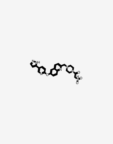 O=C(C[SH](=O)=O)N1CCN(Cc2ccc3cc(Oc4ccc(-c5ccn[nH]5)cn4)ccc3n2)CC1